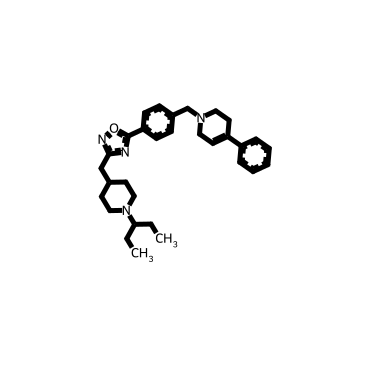 CCC(CC)N1CCC(Cc2noc(-c3ccc(CN4CC=C(c5ccccc5)CC4)cc3)n2)CC1